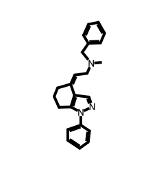 CN(C/C=C1/CCCc2c1cnn2-c1ccccc1)Cc1ccccc1